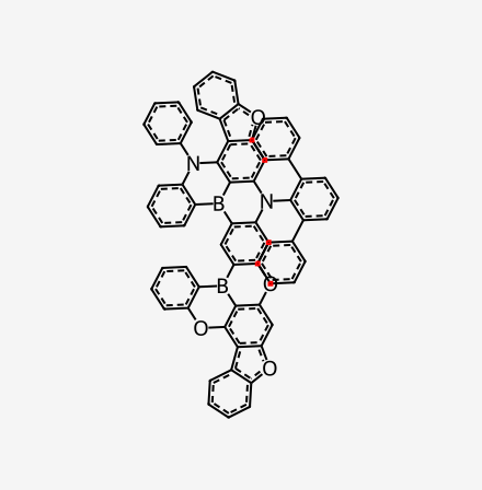 c1ccc(-c2cccc(-c3ccccc3)c2N2c3cc4c(cc3B3c5ccccc5N(c5ccccc5)c5c3c2cc2oc3ccccc3c52)B2c3ccccc3Oc3c2c(cc2oc5ccccc5c32)O4)cc1